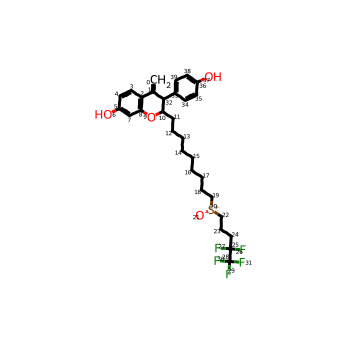 C=C1c2ccc(O)cc2OC(CCCCCCCCC[S+]([O-])CCCC(F)(F)C(F)(F)F)C1c1ccc(O)cc1